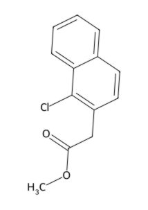 COC(=O)Cc1ccc2ccccc2c1Cl